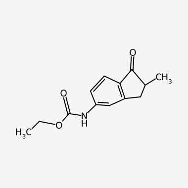 CCOC(=O)Nc1ccc2c(c1)CC(C)C2=O